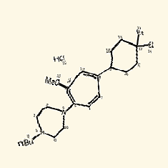 CCCCN1CCN(c2ccc(C3CCC(CC)(CC)CC3)cc2OC)CC1.Cl